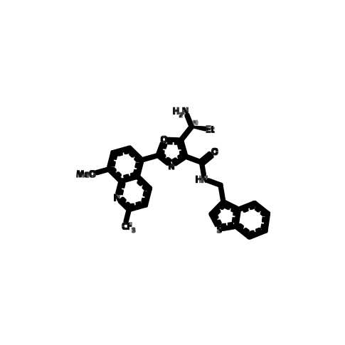 CC[C@H](N)c1oc(-c2ccc(OC)c3nc(C(F)(F)F)ccc23)nc1C(=O)NCc1csc2ccccc12